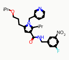 CC(C)OCCCc1cc(C(=O)NCc2cc(F)cc([N+](=O)[O-])c2)c(C(C)C)n1Cc1cccnc1